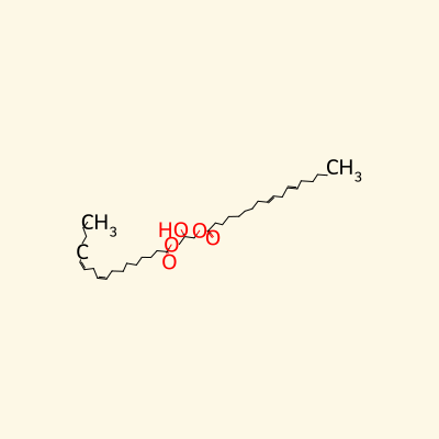 CCCCCC=CCC=CCCCCCCCC(=O)OCC(O)COC(=O)CCCCCCC/C=C\C/C=C\CCCCC